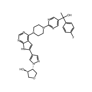 CC(O)(c1ccc(F)cc1)c1cnc(N2CCN(c3ncnc4[nH]c(-c5cnn([C@@H]6COC[C@H]6O)c5)cc34)CC2)nc1